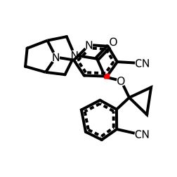 N#Cc1ccc(N2C3CCC2CN(C(=O)COC2(c4ccccc4C#N)CC2)C3)nc1